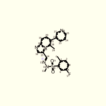 Cc1ccc(F)cc1S(=O)(=O)N(C)/N=C/c1cnc2ccc(-c3cccnc3)c(C)n12